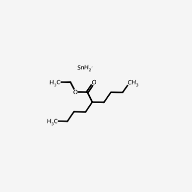 CCCCC(CCCC)C(=O)OCC.[SnH2]